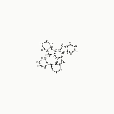 c1ccc2c(c1)oc1c3c4ccccc4sc3c3c4ccccc4n(-c4ccncc4)c3c21